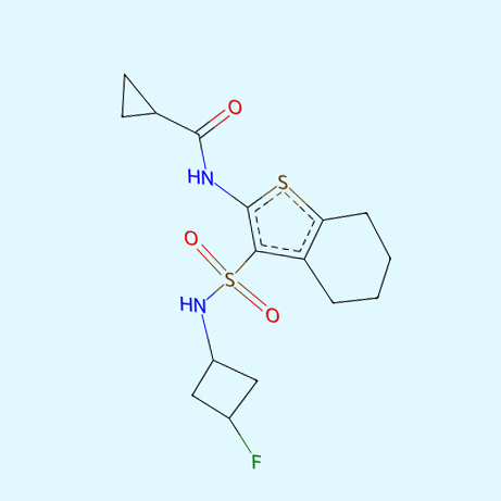 O=C(Nc1sc2c(c1S(=O)(=O)NC1CC(F)C1)CCCC2)C1CC1